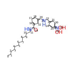 CCCCCCCCCCCCNC(=O)c1cccc(CNCc2ccc(N(O)O)cc2)c1